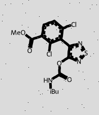 CCC(C)NC(=O)Oc1nsnc1-c1c(Cl)ccc(C(=O)OC)c1Cl